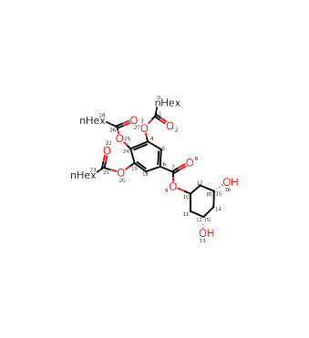 CCCCCCC(=O)Oc1cc(C(=O)OC2C[C@@H](O)C[C@@H](O)C2)cc(OC(=O)CCCCCC)c1OC(=O)CCCCCC